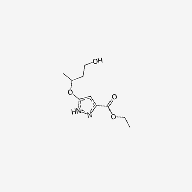 CCOC(=O)c1cc(OC(C)CCO)[nH]n1